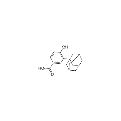 O=C(O)c1ccc(O)c(C23CC4CC(CC(C4)C2)C3)c1